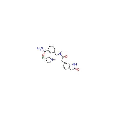 CN(C(=O)Cc1ccc2c(c1)NC(=O)C2)C(CN1CC[C@H](F)C1)c1cccc(C(N)=O)c1